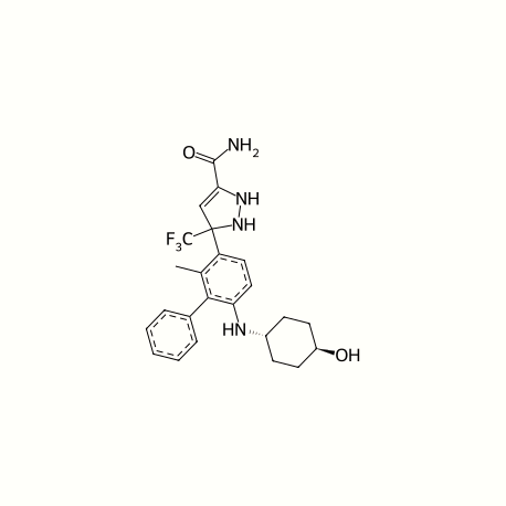 Cc1c(C2(C(F)(F)F)C=C(C(N)=O)NN2)ccc(N[C@H]2CC[C@H](O)CC2)c1-c1ccccc1